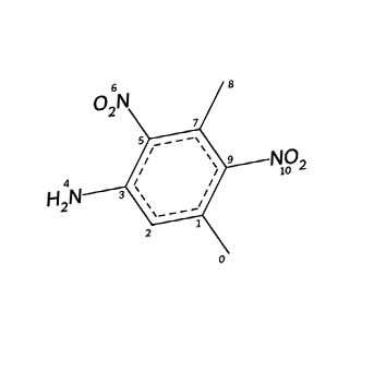 Cc1cc(N)c([N+](=O)[O-])c(C)c1[N+](=O)[O-]